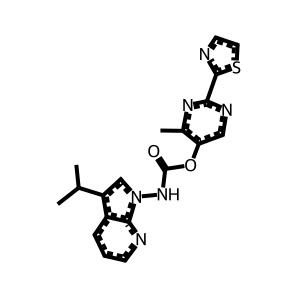 Cc1nc(-c2nccs2)ncc1OC(=O)Nn1cc(C(C)C)c2cccnc21